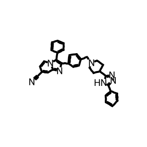 N#Cc1ccn2c(-c3ccccc3)c(-c3ccc(CN4CCC(c5nnc(-c6ccccc6)[nH]5)CC4)cc3)nc2c1